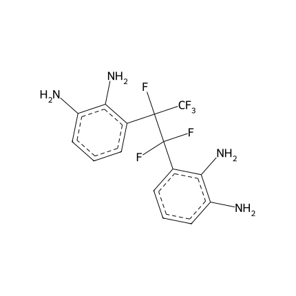 Nc1cccc(C(F)(F)C(F)(c2cccc(N)c2N)C(F)(F)F)c1N